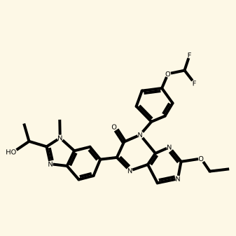 CCOc1ncc2nc(-c3ccc4nc(C(C)O)n(C)c4c3)c(=O)n(-c3ccc(OC(F)F)cc3)c2n1